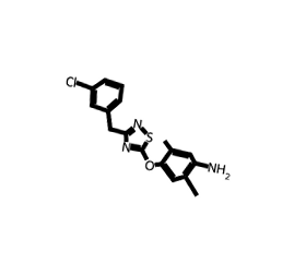 Cc1cc(Oc2nc(Cc3cccc(Cl)c3)ns2)c(C)cc1N